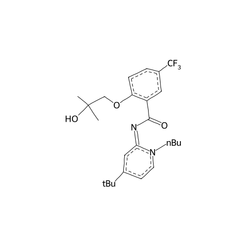 CCCCn1ccc(C(C)(C)C)cc1=NC(=O)c1cc(C(F)(F)F)ccc1OCC(C)(C)O